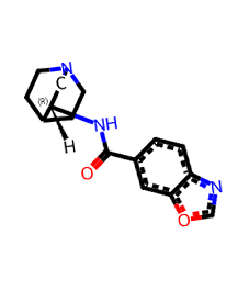 O=C(N[C@H]1CN2CCC1CC2)c1ccc2ncoc2c1